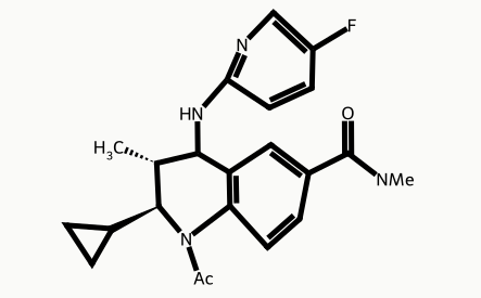 CNC(=O)c1ccc2c(c1)C(Nc1ccc(F)cn1)[C@@H](C)[C@H](C1CC1)N2C(C)=O